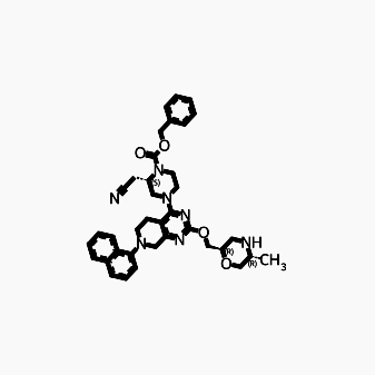 C[C@@H]1CO[C@@H](COc2nc3c(c(N4CCN(C(=O)OCc5ccccc5)[C@@H](CC#N)C4)n2)CCN(c2cccc4ccccc24)C3)CN1